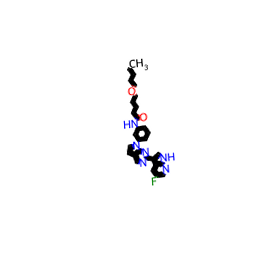 CCCCCOCCCCC(=O)N[C@H]1CCC[C@@H](n2ccc3cnc(-c4c[nH]c5ncc(F)cc45)nc32)C1